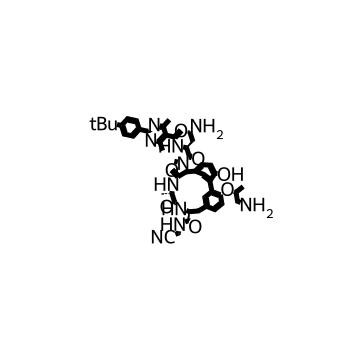 Cc1nc(-c2ccc(C(C)(C)C)cc2)nc(C)c1C(=O)N[C@@H](CCN)C(=O)N(C)[C@@H]1C(=O)N[C@@H](C)C(=O)N[C@H](C(=O)NCC#N)Cc2ccc(OC(C)CN)c(c2)-c2cc1ccc2O